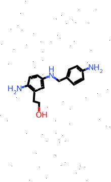 Nc1ccc(CNc2ccc(N)c(CCO)c2)cc1